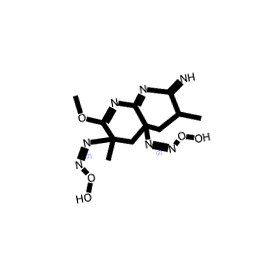 COC1=NC2=NC(=N)C(C)CC2(/N=N\OO)CC1(C)/N=N\OO